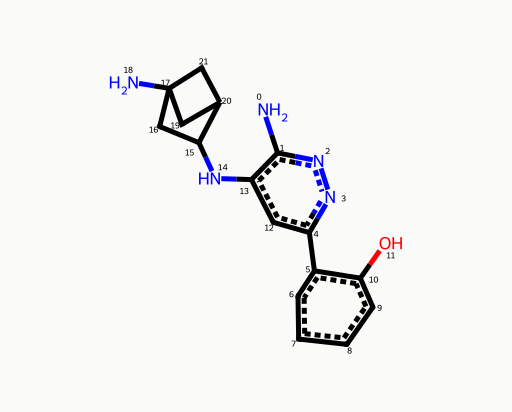 Nc1nnc(-c2ccccc2O)cc1NC1CC2(N)CC1C2